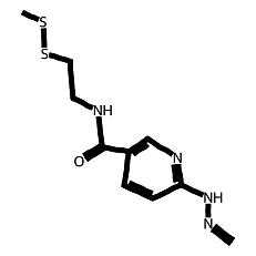 C=NNc1ccc(C(=O)NCCSSC)cn1